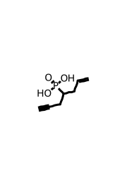 C#CCC(CC=C)P(=O)(O)O